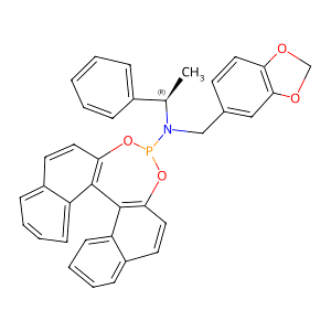 C[C@H](c1ccccc1)N(Cc1ccc2c(c1)OCO2)p1oc2ccc3ccccc3c2c2c(ccc3ccccc32)o1